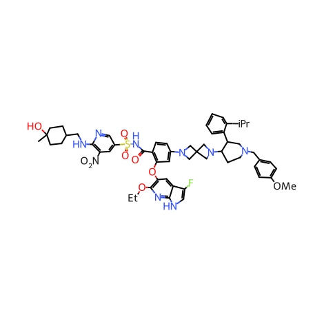 CCOc1nc2[nH]cc(F)c2cc1Oc1cc(N2CC3(C2)CN(C2CCN(Cc4ccc(OC)cc4)CC2c2ccccc2C(C)C)C3)ccc1C(=O)NS(=O)(=O)c1cnc(NCC2CCC(C)(O)CC2)c([N+](=O)[O-])c1